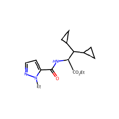 CCOC(=O)C(NC(=O)c1ccnn1CC)C(C1CC1)C1CC1